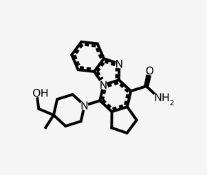 CC1(CO)CCN(c2c3c(c(C(N)=O)c4nc5ccccc5n24)CCC3)CC1